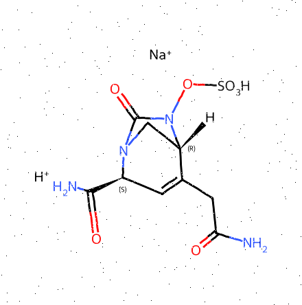 NC(=O)CC1=C[C@@H](C(N)=O)N2C[C@@H]1N(OS(=O)(=O)O)C2=O.[H+].[Na+]